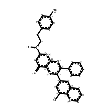 O=c1cc([S+]([O-])CCc2ccc(O)cc2)[nH]c2nc(-c3ccccc3)c(-c3cc(Cl)c4ncccc4c3)nc12